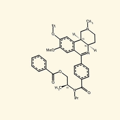 CCOc1cc2c(cc1OC)C(c1ccc(C(=O)N(C(C)C)[C@@H](C)COC(=O)c3ccccc3)cc1)=N[C@@H]1CCN(C)C[C@H]21